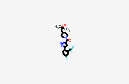 CC(C)(O)CC1CCN(C(=O)c2cc(-c3ccc(F)cc3C(F)(F)F)n[nH]2)CC1